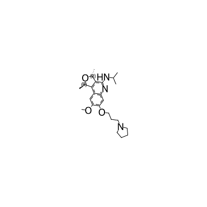 COc1cc2c3c(c(NC(C)C)nc2cc1OCCCN1CCCC1)[C@@H](C)O[C@@H]3C